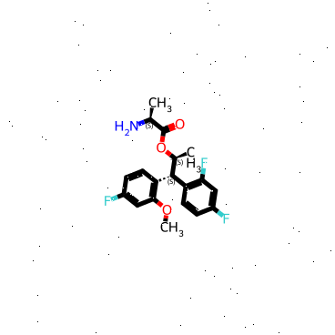 COc1cc(F)ccc1[C@@H](c1ccc(F)cc1F)[C@H](C)OC(=O)[C@H](C)N